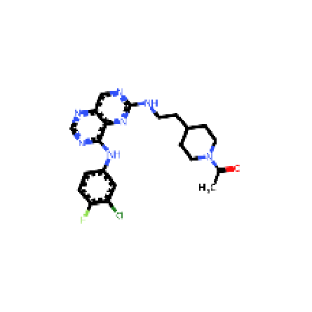 CC(=O)N1CCC(CCNc2ncc3ncnc(Nc4ccc(F)c(Cl)c4)c3n2)CC1